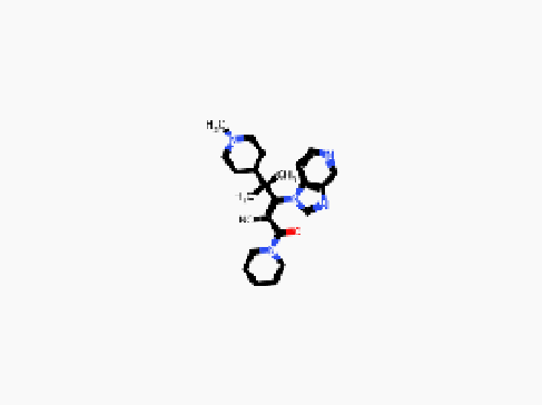 CN1CCC(C(C)(C)C(=C(C#N)C(=O)N2CCCCC2)n2cnc3cnccc32)CC1